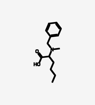 CCCCC(C(=O)O)N(C)Cc1ccccc1